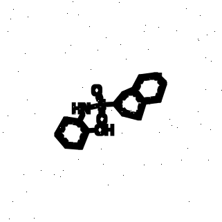 O=S(=O)(Nc1ccccc1O)c1ccc2cc[c]cc2c1